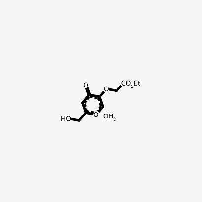 CCOC(=O)COc1coc(CO)cc1=O.O